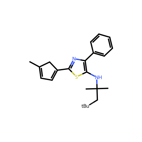 CC1=CC=C(c2nc(-c3ccccc3)c(NC(C)(C)CC(C)(C)C)s2)C1